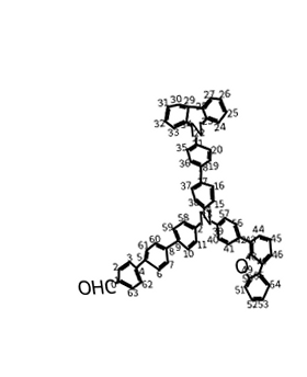 O=Cc1ccc(-c2ccc(-c3ccc(N(c4ccc(-c5ccc(-n6c7ccccc7c7ccccc76)cc5)cc4)c4ccc(-c5cccc6c5oc5ccccc56)cc4)cc3)cc2)cc1